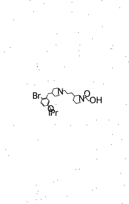 CC(C)Oc1ccc(Br)c(CC2CCN(CCCC3CCCN(C(=O)CO)C3)CC2)c1